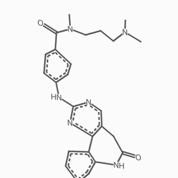 CN(C)CCCN(C)C(=O)c1ccc(Nc2ncc3c(n2)-c2ccccc2NC(=O)C3)cc1